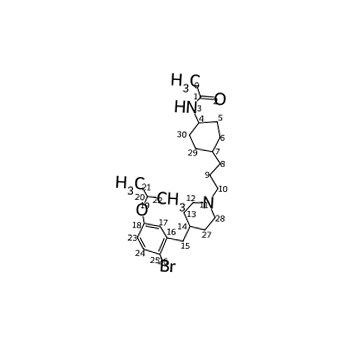 CC(=O)NC1CCC(CCCN2CCC(Cc3cc(OC(C)C)ccc3Br)CC2)CC1